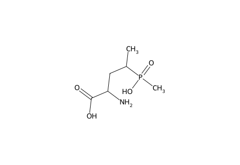 CC(CC(N)C(=O)O)P(C)(=O)O